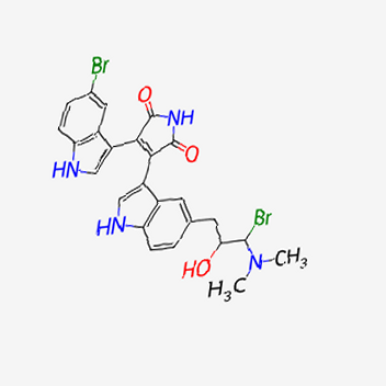 CN(C)C(Br)C(O)Cc1ccc2[nH]cc(C3=C(c4c[nH]c5ccc(Br)cc45)C(=O)NC3=O)c2c1